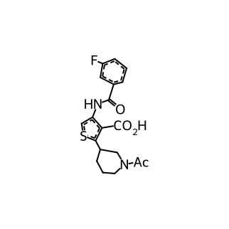 CC(=O)N1CCCC(c2scc(NC(=O)c3cccc(F)c3)c2C(=O)O)C1